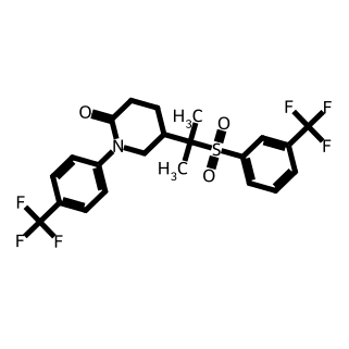 CC(C)(C1CCC(=O)N(c2ccc(C(F)(F)F)cc2)C1)S(=O)(=O)c1cccc(C(F)(F)F)c1